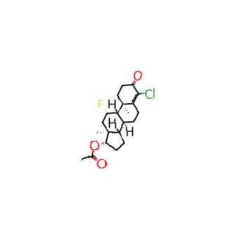 CC(=O)O[C@H]1CC[C@H]2[C@@H]3CCC4=C(Cl)C(=O)CC[C@]4(C)[C@H]3[C@@H](F)C[C@]12C